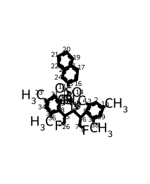 Cc1cc(C)c(C(CF)C(=NOS(=O)(=O)c2ccc3ccccc3c2)C(CF)c2c(C)cc(C)cc2C)c(C)c1